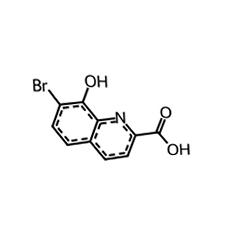 O=C(O)c1ccc2ccc(Br)c(O)c2n1